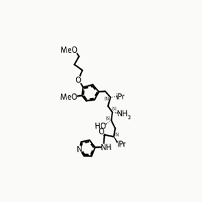 COCCCOc1cc(C[C@@H](C[C@H](N)[C@@H](O)C[C@H](C(=O)Nc2ccncc2)C(C)C)C(C)C)ccc1OC